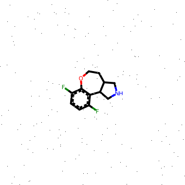 Fc1ccc(F)c2c1OCCC1CNCC21